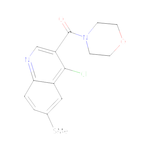 CSc1ccc2ncc(C(=O)N3CCOCC3)c(Cl)c2c1